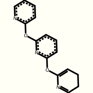 C1=NC(Oc2cccc(Oc3ccccn3)n2)=CCC1